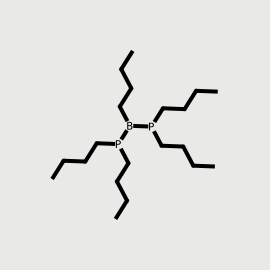 CCCCB(P(CCCC)CCCC)P(CCCC)CCCC